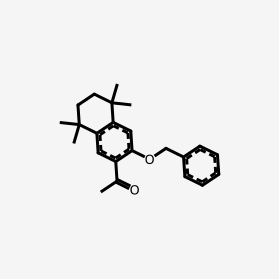 CC(=O)c1cc2c(cc1OCc1ccccc1)C(C)(C)CCC2(C)C